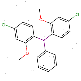 COc1cc(Cl)ccc1P(c1ccccc1)c1ccc(Cl)cc1OC